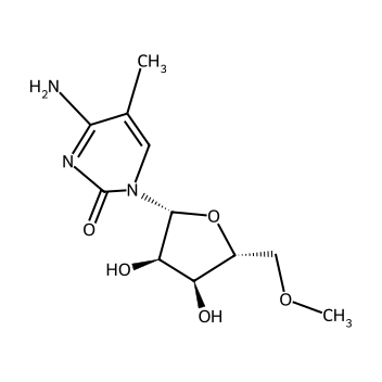 COC[C@H]1O[C@@H](n2cc(C)c(N)nc2=O)[C@H](O)[C@@H]1O